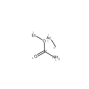 CC(C)=O.CCOC(N)=O